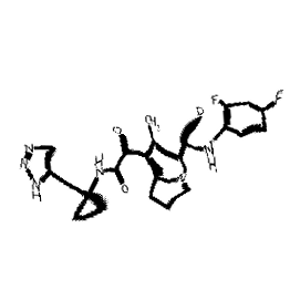 Cc1c(C(=O)C(=O)NC2(c3cnn[nH]3)CC2)c2n(c1C(=O)Nc1ccc(F)cc1F)CCC2